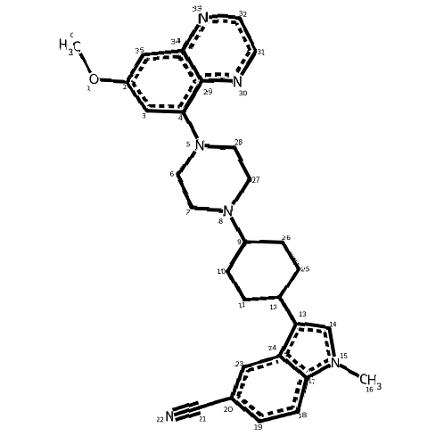 COc1cc(N2CCN(C3CCC(c4cn(C)c5ccc(C#N)cc45)CC3)CC2)c2nccnc2c1